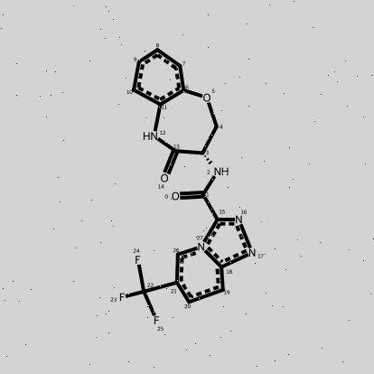 O=C(N[C@H]1COc2ccccc2NC1=O)c1nnc2ccc(C(F)(F)F)cn12